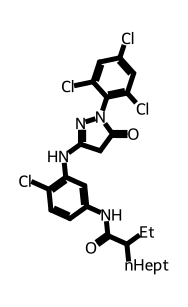 CCCCCCCC(CC)C(=O)Nc1ccc(Cl)c(NC2=NN(c3c(Cl)cc(Cl)cc3Cl)C(=O)C2)c1